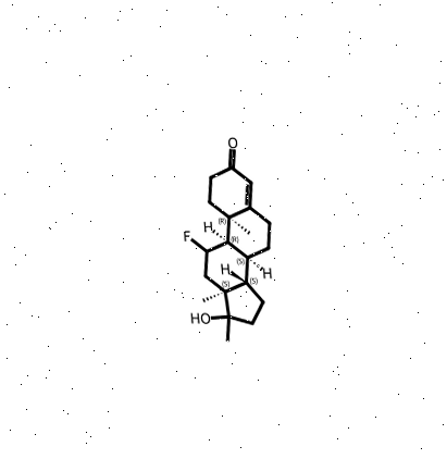 CC1(O)CC[C@H]2[C@@H]3CCC4=CC(=O)CC[C@]4(C)[C@@H]3C(F)C[C@@]21C